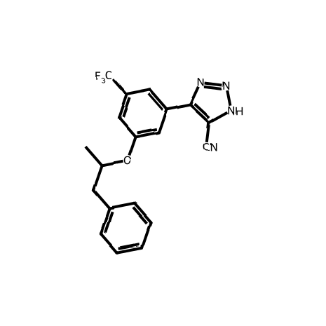 CC(Cc1ccccc1)Oc1cc(-c2nn[nH]c2C#N)cc(C(F)(F)F)c1